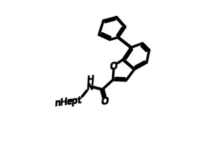 CCCCCCCNC(=O)c1cc2cccc(-c3ccccc3)c2o1